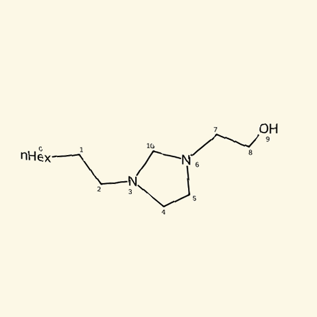 CCCCCCCCN1CCN(CCO)C1